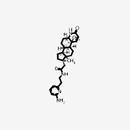 C[C@]12C=CC(=O)N[C@@H]1CC[C@@H]1[C@@H]2CC[C@]2(C)[C@@H](CC(=O)NCCc3cccc(N)n3)CC[C@@H]12